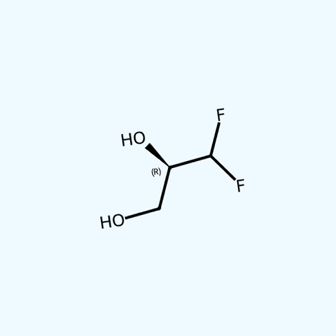 OC[C@@H](O)C(F)F